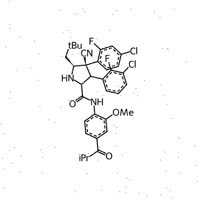 COc1cc(C(=O)C(C)C)ccc1NC(=O)C1N[C@@H](CC(C)(C)C)[C@](C#N)(c2ccc(Cl)cc2F)C1c1cccc(Cl)c1F